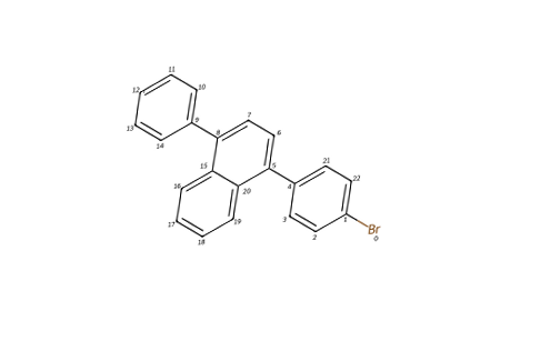 Brc1ccc(-c2ccc(-c3cc[c]cc3)c3ccccc23)cc1